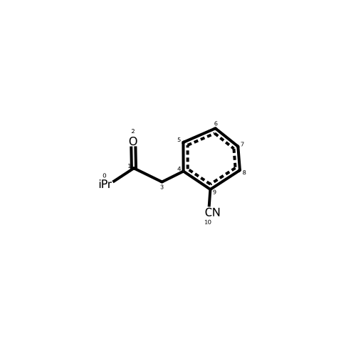 CC(C)C(=O)Cc1ccccc1C#N